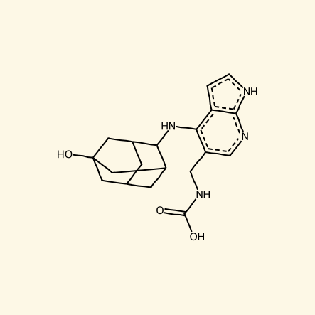 O=C(O)NCc1cnc2[nH]ccc2c1NC1C2CC3CC1CC(O)(C3)C2